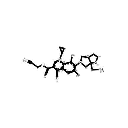 C#CCOC(=O)c1cn(C2CC2)c2c(F)c(N3CC4CCOC4(CN)C3)c(F)cc2c1=O